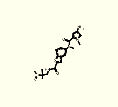 CN(C(=O)c1cc(N)cn1C)c1ccc2sc(C(=O)NCC(C)(C)S(C)=S)cc2c1